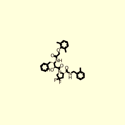 Cc1ccccc1CNC(=O)[C@@H]1CC(F)(F)CN1C(=O)[C@@H](O)[C@H](Cc1ccccc1)NC(=O)COc1c(C)cccc1C